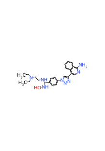 CCN(CC)CCNC(NO)c1ccc(-n2cc(-c3cnc(N)c4ccccc34)nn2)cc1